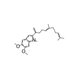 C=C(CC/C=C(\C)CCC=C(C)C)c1cc2cc(OC)c(OC)cc2n1C